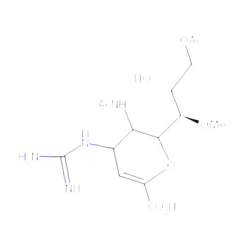 CO[C@@H](C1OC(C(=O)O)=CC(NC(=N)N)C1NC(C)=O)[C@H](O)COC(C)=O